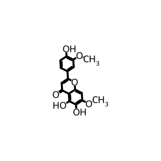 COc1cc(-c2cc(=O)c3c(O)c(O)c(OC)cc3o2)ccc1O